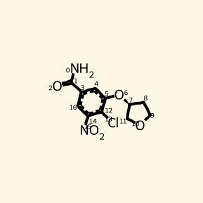 NC(=O)c1cc(O[C@H]2CCOC2)c(Cl)c([N+](=O)[O-])c1